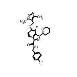 Cc1nnn(C)c1COc1ccc2c(C(=O)NCc3ccc(Cl)cc3)nn(C3CCCCO3)c2c1F